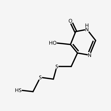 O=c1[nH]cnc(CSCSCS)c1O